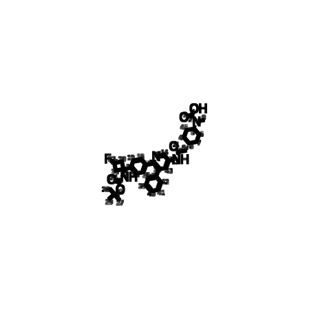 CN(C(=O)O)[C@H]1CC[C@H](CC(=O)Nc2cnc(-c3ccc(C4(NC(=O)OC(C)(C)C)CC(F)C4)cc3)c(-c3ccccc3)c2)CC1